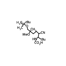 COC(C)(CCC(C#N)C(NC(=O)O)C(C)(C)C)CO[Si](C)(C)C(C)(C)C